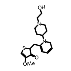 COC1=CSC(CC2=CC=CCN2C2CCN(CCO)CC2)C1=O